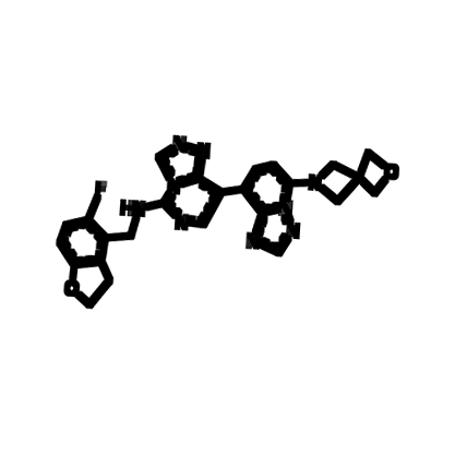 Fc1ccc2c(c1CNc1ncc(-c3ccc(N4CC5(COC5)C4)n4ncnc34)c3nncn13)CCO2